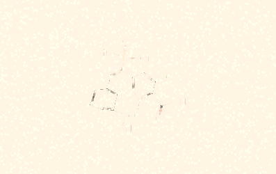 COc1cccc(/C=C(\c2cc(Cl)c(C(=O)O)c(Cl)c2)P(=O)(O)O)c1